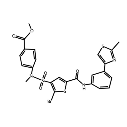 COC(=O)c1ccc(N(C)S(=O)(=O)c2cc(C(=O)Nc3cccc(-c4csc(C)n4)c3)sc2Br)cc1